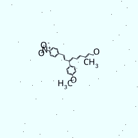 COc1ccc(C(=C\C=C\C(C)=C\C=O)/C=C/c2ccc([N+](=O)[O-])cc2)cc1